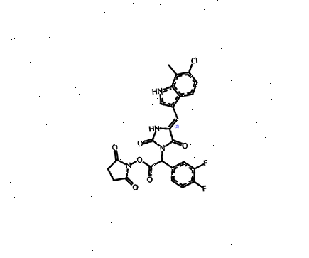 Cc1c(Cl)ccc2c(/C=C3\NC(=O)N(C(C(=O)ON4C(=O)CCC4=O)c4ccc(F)c(F)c4)C3=O)c[nH]c12